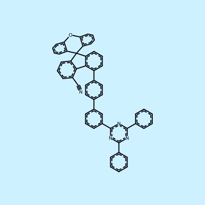 N#Cc1cccc2c1-c1c(-c3ccc(-c4cccc(-c5nc(-c6ccccc6)nc(-c6ccccc6)n5)c4)cc3)cccc1C21c2ccccc2Oc2ccccc21